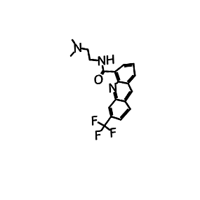 CN(C)CCNC(=O)c1cccc2cc3ccc(C(F)(F)F)cc3nc12